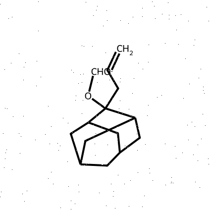 C=CCC1(O[C]=O)C2CC3CC(C2)CC1C3